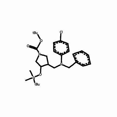 CC(C)(C)OC(=O)N1CC(CN(Cc2ccccc2)c2ccc(Cl)cc2)C(O[Si](C)(C)C(C)(C)C)C1